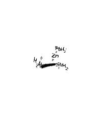 [AlH2][SbH2].[PbH2].[Zn]